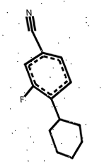 N#Cc1ccc(C2CCCCC2)c(F)c1